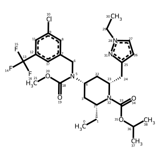 CC[C@@H]1C[C@H](N(Cc2cc(Cl)cc(C(F)(F)F)c2)C(=O)OC)C[C@H](Cc2ccn(CC)n2)N1C(=O)OC(C)C